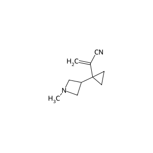 C=C(C#N)C1(C2CN(C)C2)CC1